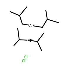 CC(C)[CH2][Al+][CH2]C(C)C.C[CH](C)[Al+][CH](C)C.[Cl-].[Cl-]